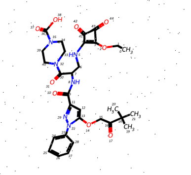 CCOc1c(NCC(NC(=O)c2cc(OCC(=O)C(C)(C)C)n(-c3ccccc3)n2)C(=O)N2CCN(C(=O)O)CC2)c(=O)c1=O